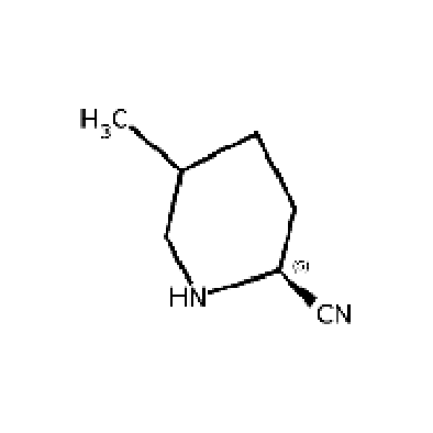 CC1CC[C@@H](C#N)NC1